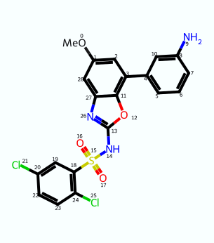 COc1cc(-c2cccc(N)c2)c2oc(NS(=O)(=O)c3cc(Cl)ccc3Cl)nc2c1